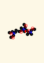 c1ccc2c(c1)oc1ccc(-n3c4ccc5c(-c6ccc7oc8c(c7c6)c6ccccc6c6c8c7ccccc7n6-c6cc7c(cc6-c6ccc8c(c6)oc6c8c8ccccc8c8c9ccccc9n(-c9ccc%10oc%11ccccc%11c%10c9)c68)oc6ccccc67)cccc5c4c4ccc5c6ccccc6oc5c43)cc12